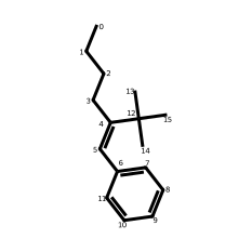 CCCCC(=Cc1ccccc1)C(C)(C)C